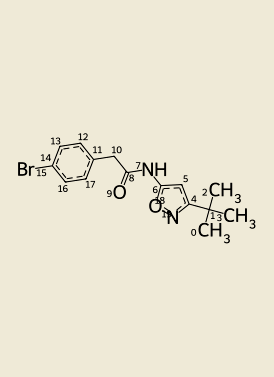 CC(C)(C)c1cc(NC(=O)Cc2ccc(Br)cc2)on1